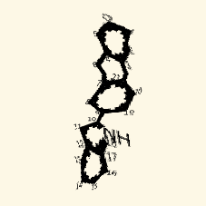 c1ccc2c(c1)Cc1cc(-c3cc4ccccc4[nH]3)ccc1-2